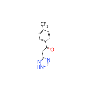 O=C(Cc1nc[nH]n1)c1ccc(C(F)(F)F)cc1